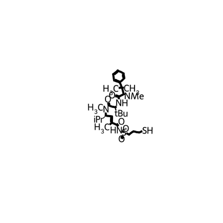 CN[C@H](C(=O)N[C@H](C(=O)N(C)[C@H](/C=C(\C)C(=O)NS(=O)(=O)CCCS)C(C)C)C(C)(C)C)C(C)(C)c1ccccc1